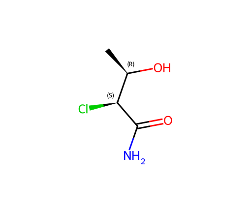 C[C@@H](O)[C@H](Cl)C(N)=O